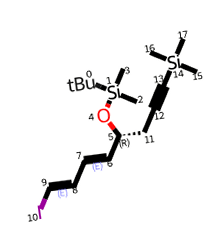 CC(C)(C)[Si](C)(C)O[C@@H](/C=C/C=C/I)CC#C[Si](C)(C)C